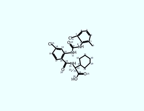 Cc1cccc(Cl)c1NC(=O)Nc1cc(Cl)ccc1C(=O)N[C@](C)(C(=O)O)C1CCCCC1